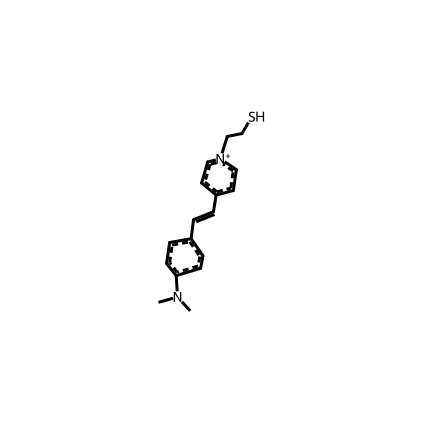 CN(C)c1ccc(/C=C/c2cc[n+](CCS)cc2)cc1